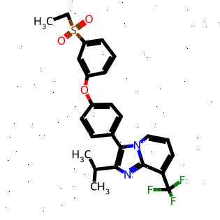 CCS(=O)(=O)c1cccc(Oc2ccc(-c3c(C(C)C)nc4c(C(F)(F)F)cccn34)cc2)c1